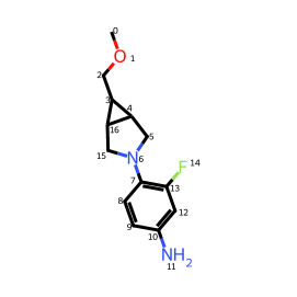 COCC1C2CN(c3ccc(N)cc3F)CC12